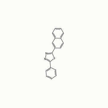 [c]1ccc(-c2nnc(-c3ccc4ccccc4c3)s2)cc1